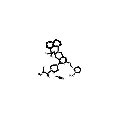 [2H]C([2H])([2H])c1cccc2cccc(N3CCc4c(nc(OC[C@@H]5CCCN5C)nc4N4CCN(C(=O)C(=C)F)[C@@H](CC#N)C4)C3)c12